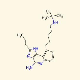 CCCc1nc2c(N)nc3cccc(CCCCCNC(C)(C)C)c3c2[nH]1